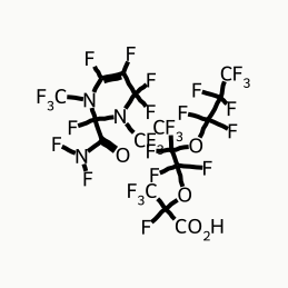 O=C(N(F)F)C1(F)N(C(F)(F)F)C(F)=C(F)C(F)(F)N1C(F)(F)F.O=C(O)C(F)(OC(F)(F)C(F)(OC(F)(F)C(F)(F)C(F)(F)F)C(F)(F)F)C(F)(F)F